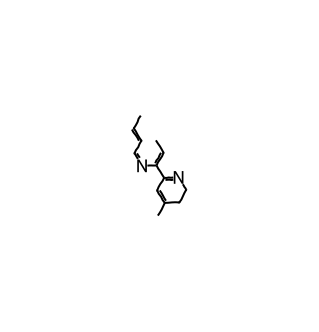 C\C=C(/N=C\C=C\C)C1=NCCC(C)=C1